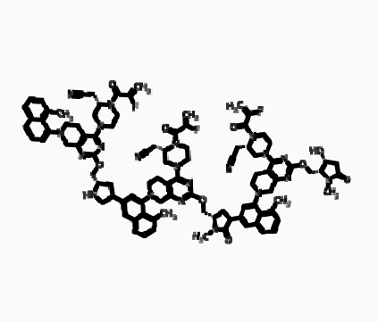 C=C(F)C(=O)N1CCN(c2nc(OC[C@@H]3CC(c4cc(N5CCc6c(nc(OC[C@@H]7CC(c8cc(N9CCc%10c(nc(OC[C@@H]%11[C@H](O)CC(=O)N%11C)nc%10N%10CCN(C(=O)C(=C)F)[C@@H](CC#N)C%10)C9)c9c(C)cccc9c8)C(=O)N7C)nc6N6CCN(C(=O)C(=C)F)[C@@H](CC#N)C6)C5)c5c(C)cccc5c4)CN3)nc3c2CCN(c2cccc4cccc(C)c24)C3)C[C@@H]1CC#N